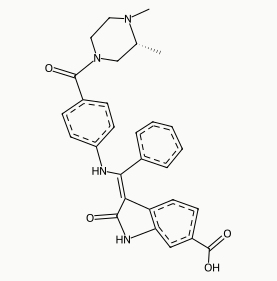 C[C@@H]1CN(C(=O)c2ccc(N/C(=C3\C(=O)Nc4cc(C(=O)O)ccc43)c3ccccc3)cc2)CCN1C